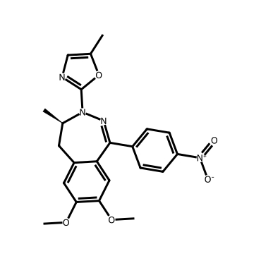 COc1cc2c(cc1OC)C(c1ccc([N+](=O)[O-])cc1)=NN(c1ncc(C)o1)[C@H](C)C2